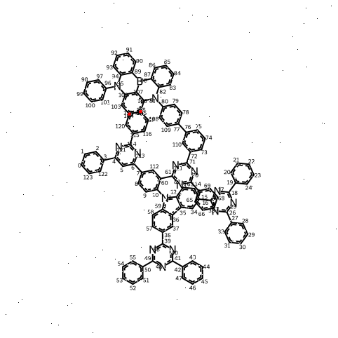 c1ccc(-c2cc(-c3ccc(-n4c5ccc(-c6nc(-c7ccccc7)nc(-c7ccccc7)n6)cc5c5cc(-c6nc(-c7ccccc7)nc(-c7ccccc7)n6)ccc54)c(-c4nc(-c5ccccc5)nc(-c5cccc(-c6ccc(N7c8ccccc8B8c9ccccc9N(c9ccccc9)c9cccc7c98)cc6)c5)n4)c3)nc(-c3ccccc3)n2)cc1